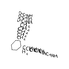 C.C.C.C.C.C.C.C.C.C.C1CCCCC1.N=C=O.N=C=O.N=C=O.N=C=O